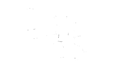 CCCCCCCCCC[C@H]1CC[C@H](C(=O)O[C@@]2(C(=O)[C@H]3CC[C@H](CCCCCCCCCC)CC3)[C@@](OC(=O)[C@H]3CC[C@H](CCCCCCCCCC)CC3)(C(=O)[C@H]3CC[C@H](CCCCCCCCCC)CC3)[C@@H](O)[C@H](O)[C@@H](O)[C@@]2(OC(=O)[C@H]2CC[C@H](CCCCCCCCCC)CC2)C(=O)[C@H]2CC[C@H](CCCCCCCCCC)CC2)CC1